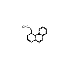 O=C[N]C1CC=Cc2ncc3ccccc3c21